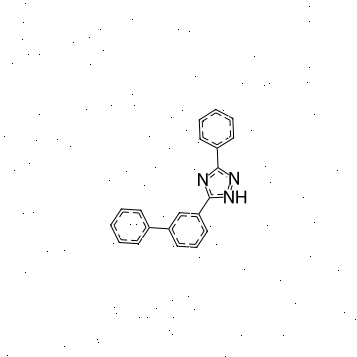 c1ccc(-c2cccc(-c3nc(-c4ccccc4)n[nH]3)c2)cc1